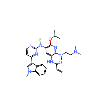 C=CC(=O)Nc1cc(N(F)c2nccc(-c3cn(C)c4ccccc34)n2)c(OC(C)C)nc1N(C)CCN(C)C